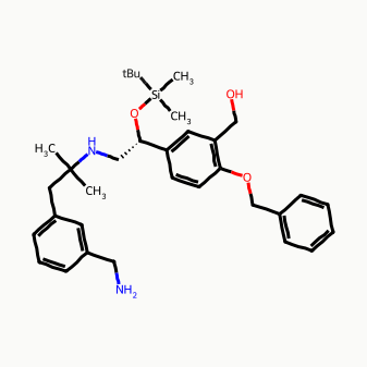 CC(C)(Cc1cccc(CN)c1)NC[C@H](O[Si](C)(C)C(C)(C)C)c1ccc(OCc2ccccc2)c(CO)c1